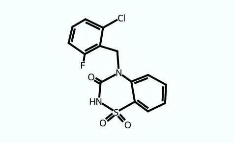 O=C1NS(=O)(=O)c2ccccc2N1Cc1c(F)cccc1Cl